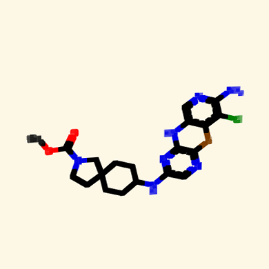 CC(C)(C)OC(=O)N1CCC2(CCC(Nc3cnc4c(n3)Nc3cnc(N)c(Cl)c3S4)CC2)C1